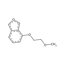 COCCOc1cccc2cocc12